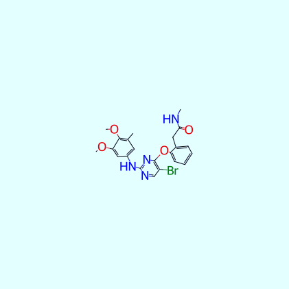 CNC(=O)Cc1ccccc1Oc1nc(Nc2cc(C)c(OC)c(OC)c2)ncc1Br